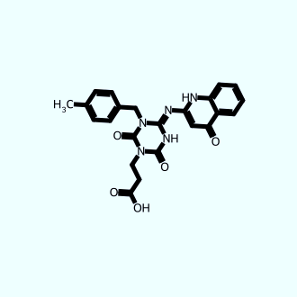 Cc1ccc(Cn2c(=O)n(CCC(=O)O)c(=O)[nH]/c2=N\c2cc(=O)c3ccccc3[nH]2)cc1